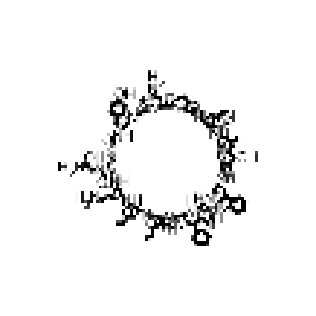 CCCC[C@H]1C(=O)N[C@@H](CCCN)C(=O)N[C@H](C(=O)NCC(N)=O)CSCC(=O)N[C@@H](Cc2ccc(O)cc2)C(=O)N(C)[C@@H](C)C(=O)N[C@@H](CC(N)=O)C(=O)N2CCC[C@H]2C(=O)N[C@@H](Cc2cnc[nH]2)C(=O)N[C@@H](CC(C)C)C(=O)N2C[C@H](O)C[C@H]2C(=O)N[C@@H](Cc2c[nH]c3ccccc23)C(=O)N[C@@H](CO)C(=O)N[C@@H](Cc2c[nH]c3ccccc23)c2nnnn2[C@@H](CCCC)C(=O)N1C